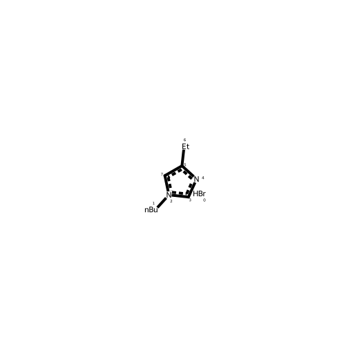 Br.CCCCn1cnc(CC)c1